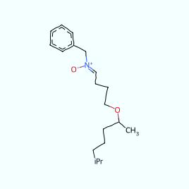 CC(C)CCCC(C)OCCCC=[N+]([O-])Cc1ccccc1